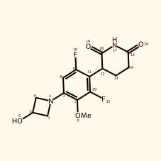 COc1c(N2CC(O)C2)cc(F)c(C2CCC(=O)NC2=O)c1F